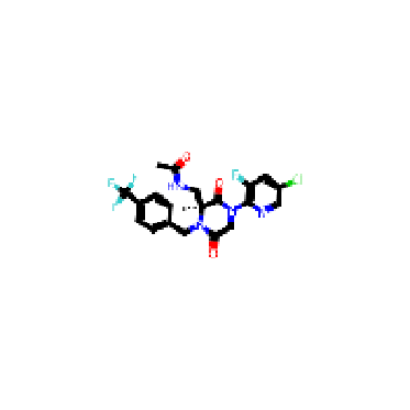 CC(=O)NC[C@@]1(C)C(=O)N(c2ncc(Cl)cc2F)CC(=O)N1Cc1ccc(C(F)(F)F)cc1